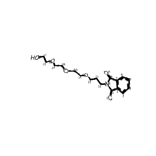 O=C1c2ccccc2C(=O)N1CCCOCCOCCOCCO